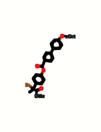 CCCCCCCCOc1ccc(-c2ccc(C(=O)Oc3ccc(C(C)(Br)C(=O)OC)cc3)cc2)cc1